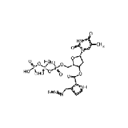 Cc1cn([C@H]2CC(OC(=O)c3[nH]ccc3CN=[N+]=[N-])[C@@H](COP(=O)(O)OP(=O)(O)OP(=O)(O)O)O2)c(=O)[nH]c1=O